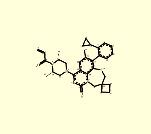 C=CC(=O)N1[C@H](C)CN(c2nc(=O)n3c4c(c(-c5ccccc5C5CC5)c(C)cc24)SCC2(CCC2)C3)C[C@@H]1C